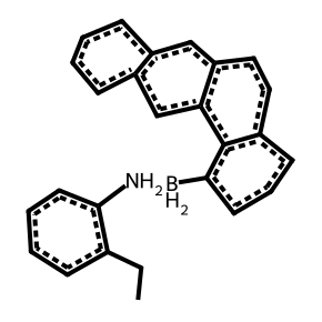 Bc1cccc2ccc3cc4ccccc4cc3c12.CCc1ccccc1N